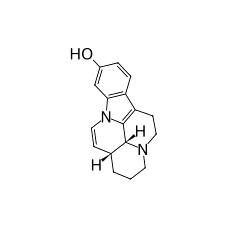 Oc1ccc2c3c4n(c2c1)C=C[C@H]1CCCN(CC3)[C@@H]41